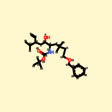 C=CC(CC(O)C(CC(C)(C)CCOCc1ccccc1)NC(=O)OC(C)(C)C)C(C)C